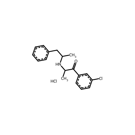 CC(Cc1ccccc1)NC(C)C(=O)c1cccc(Cl)c1.Cl